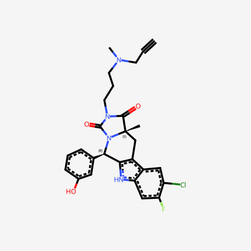 C#CCN(C)CCCN1C(=O)N2[C@H](c3cccc(O)c3)c3[nH]c4cc(F)c(Cl)cc4c3C[C@@]2(C)C1=O